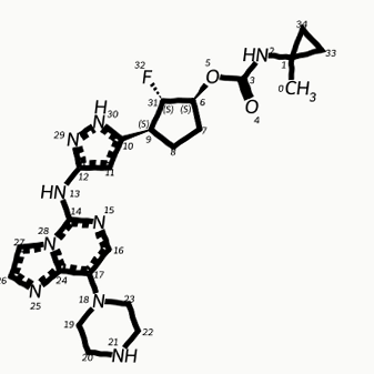 CC1(NC(=O)O[C@H]2CC[C@@H](c3cc(Nc4ncc(N5CCNCC5)c5nccn45)n[nH]3)[C@@H]2F)CC1